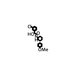 COc1ccc([C@H]2CCC[C@@H](NC(=O)[C@H](O)c3cccc(Cl)c3)C2)cc1